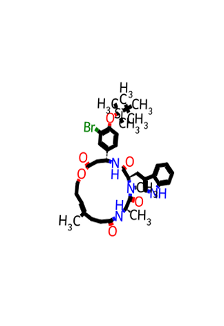 C/C1=C\CCOC(=O)C[C@H](c2ccc(O[Si](C)(C)C(C)(C)C)c(Br)c2)NC(=O)[C@@H](Cc2c[nH]c3ccccc23)N(C)C(=O)[C@H](C)NC(=O)CC1